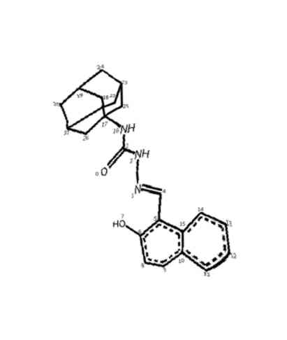 O=C(N/N=C/c1c(O)ccc2ccccc12)NC12CC3CC(CC(C3)C1)C2